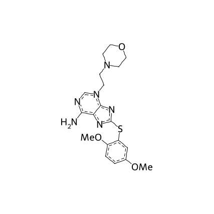 COc1ccc(OC)c(Sc2nc3c(N)ncn(CCN4CCOCC4)c-3n2)c1